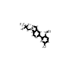 CCSc1ccc(Cl)nc1-c1cc2cnn(CC(F)(F)C(F)(F)F)c2cn1